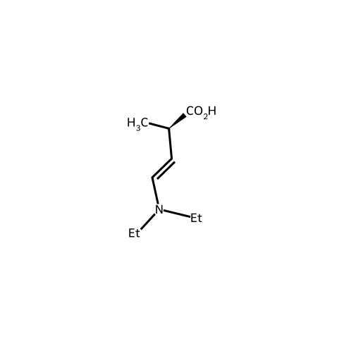 CCN(C=C[C@@H](C)C(=O)O)CC